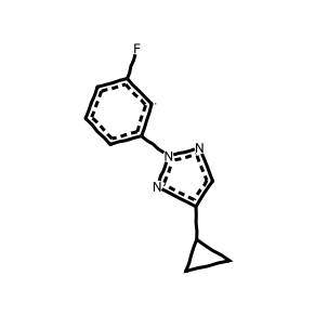 Fc1[c]c(-n2ncc(C3CC3)n2)ccc1